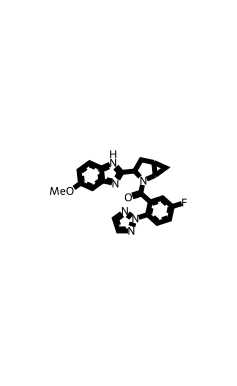 COc1ccc2[nH]c(C3CC4CC4N3C(=O)c3cc(F)ccc3-n3nccn3)nc2c1